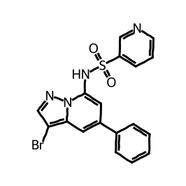 O=S(=O)(Nc1cc(-c2ccccc2)cc2c(Br)cnn12)c1cccnc1